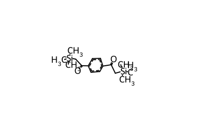 C[Si](C)(C)CC(=O)c1ccc(C(=O)C[Si](C)(C)C)cc1